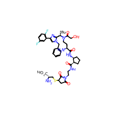 CC(C)(C)[C@H](c1nc(-c2cc(F)ccc2F)cn1Cc1ccccc1)N(CC[C@H](N)C(=O)N[C@H]1CCC[C@H]1C(=O)NCCN1C(=O)CC(SC[C@H](N)C(=O)O)C1=O)C(=O)CO